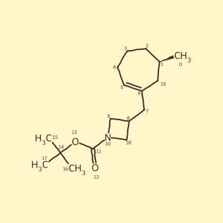 C[C@@H]1CCCC=C(CC2CN(C(=O)OC(C)(C)C)C2)C1